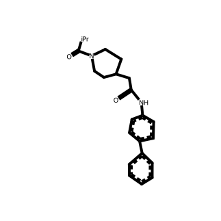 CC(C)C(=O)N1CCC(CC(=O)Nc2ccc(-c3ccccc3)cc2)CC1